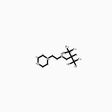 CC(CNCCN1CCOCC1)(C(F)(F)F)C(F)(F)F